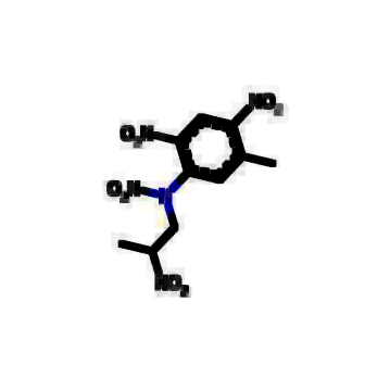 Cc1cc(N(CC(C)[N+](=O)[O-])[N+](=O)[O-])c([N+](=O)[O-])cc1[N+](=O)[O-]